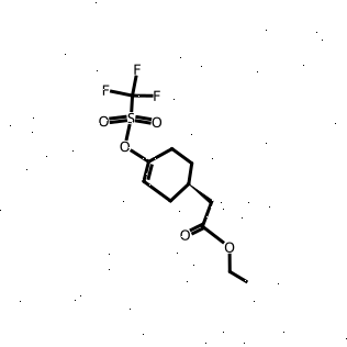 CCOC(=O)C[C@H]1CC=C(OS(=O)(=O)C(F)(F)F)CC1